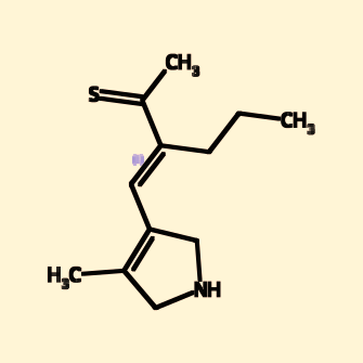 CCC/C(=C\C1=C(C)CNC1)C(C)=S